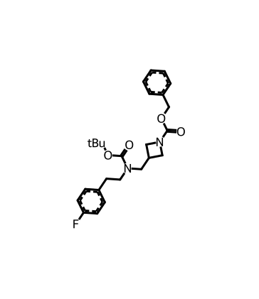 CC(C)(C)OC(=O)N(CCc1ccc(F)cc1)CC1CN(C(=O)OCc2ccccc2)C1